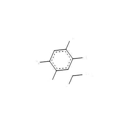 CCOC(=O)CC(=O)OCC.O=[N+]([O-])c1cc(C(F)(F)F)c(Cl)cc1Cl